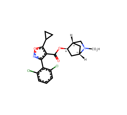 O=C(O[C@@H]1C[C@@H]2C[C@H]1CN2C(=O)O)c1c(-c2c(Cl)cccc2Cl)noc1C1CC1